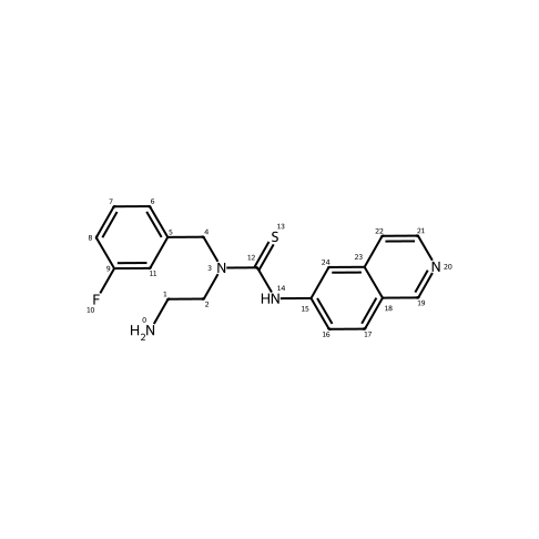 NCCN(Cc1cccc(F)c1)C(=S)Nc1ccc2cnccc2c1